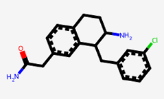 NC(=O)Cc1ccc2c(c1)C(Cc1cccc(Cl)c1)C(N)CC2